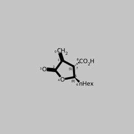 C=C1C(=O)O[C@H](CCCCCC)[C@H]1C(=O)O